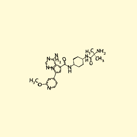 COc1cc(-c2cc(C(=O)NC3CCC(NC(=O)C(C)(C)N)CC3)c3c(N)ncnn23)ccn1